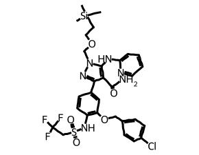 C[Si](C)(C)CCOCn1nc(-c2ccc(NS(=O)(=O)CC(F)(F)F)c(OCc3ccc(Cl)cc3)c2)c(C(N)=O)c1Nc1ccccn1